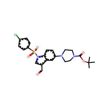 CC(C)(C)OC(=O)N1CCN(c2ccc3c(c2)c(C=O)cn3S(=O)(=O)c2ccc(Cl)cc2)CC1